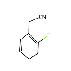 N#CCC1=C(F)CCC=C1